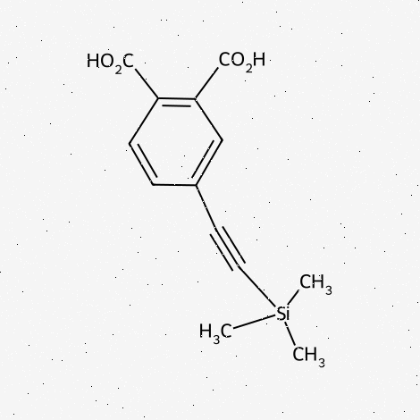 C[Si](C)(C)C#Cc1ccc(C(=O)O)c(C(=O)O)c1